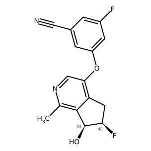 Cc1ncc(Oc2cc(F)cc(C#N)c2)c2c1[C@H](O)[C@H](F)C2